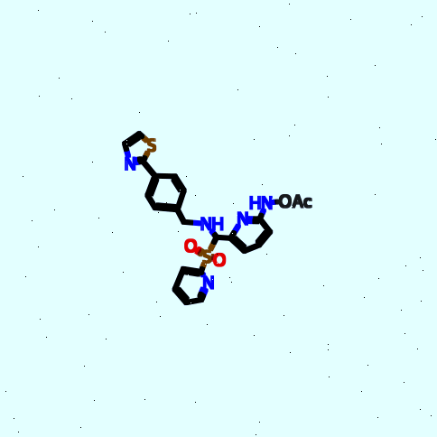 CC(=O)ONc1cccc(C(NCc2ccc(-c3nccs3)cc2)S(=O)(=O)c2ccccn2)n1